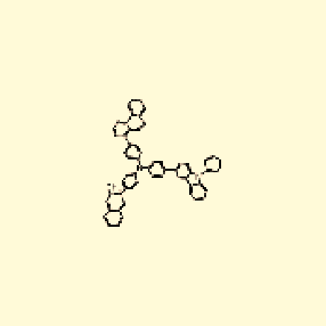 CC1C=c2ccccc2=CC1c1ccc(N(c2ccc(-c3ccc4c(c3)c3ccccc3n4-c3ccccc3)cc2)c2ccc(-c3cccc4c3ccc3ccccc34)cc2)cc1